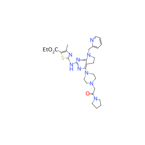 CCOC(=O)c1sc(Nc2nc(N3CCN(CC(=O)N4CCCC4)CC3)c3c(n2)N(Cc2ccccn2)CC3)nc1C